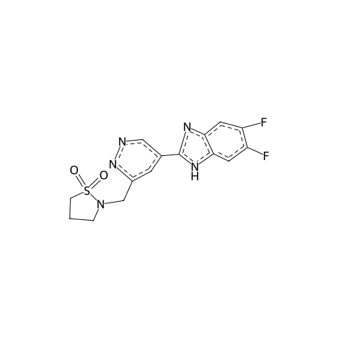 O=S1(=O)CCCN1Cc1cc(-c2nc3cc(F)c(F)cc3[nH]2)cnn1